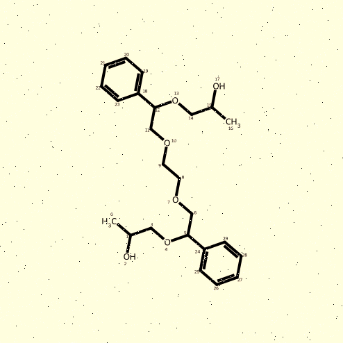 CC(O)COC(COCCOCC(OCC(C)O)c1ccccc1)c1ccccc1